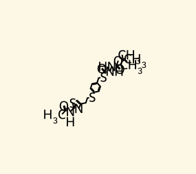 CC(=O)Nc1nc(CCSc2ccc(CSC(=O)NNC(=O)OC(C)(C)C)cc2)cs1